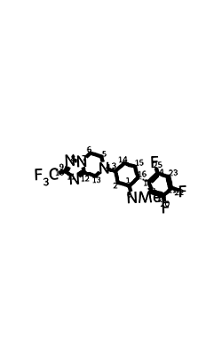 CNC1CC(N2CCn3nc(C(F)(F)F)nc3C2)CC[C@@H]1c1cc(F)c(F)cc1F